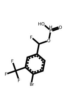 O=[PH](O)OC(F)c1ccc(Br)c(C(F)(F)F)c1